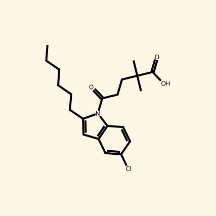 CCCCCCc1cc2cc(Cl)ccc2n1C(=O)CCC(C)(C)C(=O)O